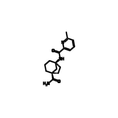 Cc1cccc(C(=O)N[C@@]23CCC[C@@](C(N)=O)(CC2)C3)n1